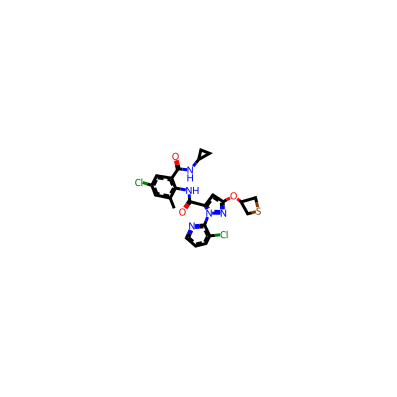 Cc1cc(Cl)cc(C(=O)NC2CC2)c1NC(=O)c1cc(OC2CSC2)nn1-c1ncccc1Cl